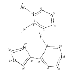 CC(=O)c1ccccc1F.Fc1ccccc1-c1cocn1